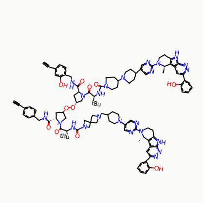 C#Cc1ccc(CNC(=O)[C@@H]2C[C@@H](OO[C@@H]3C[C@@H](C(=O)NCc4ccc(C#C)cc4O)N(C(=O)[C@@H](NC(=O)N4CCC(N5CCC(c6cnc(N7CCc8[nH]c9nnc(-c%10ccccc%10O)cc9c8[C@H]7C)nc6)CC5)CC4)C(C)(C)C)C3)CN2C(=O)[C@@H](NC(=O)N2CC3(CN(CC4CCN(c5cnc(N6CCc7[nH]c8nnc(-c9ccccc9O)cc8c7[C@@H]6C)nc5)CC4)C3)C2)C(C)(C)C)cc1